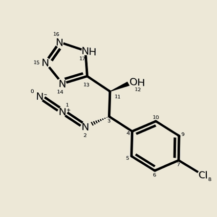 [N-]=[N+]=N[C@@H](c1ccc(Cl)cc1)[C@H](O)c1nnn[nH]1